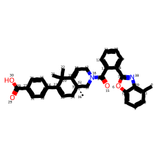 Cc1cccc2oc(-c3ccccc3C(=O)N3CC=C4C(C)(C)C(c5ccc(C(=O)O)cc5)=CC[C@]4(C)C3)nc12